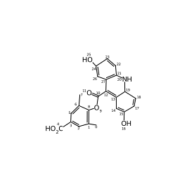 Cc1cc(C(=O)O)cc(C)c1OC(=O)C1=C2C=C(O)C=CC2Nc2ccc(O)cc21